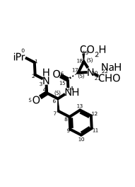 CC(C)CCNC(=O)[C@H](Cc1ccccc1)NC(=O)[C@@H]1[C@@H](C(=O)O)N1C=O.[NaH]